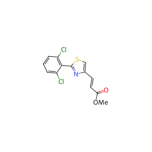 COC(=O)C=Cc1csc(-c2c(Cl)cccc2Cl)n1